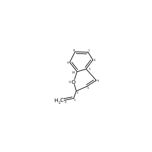 C=CC1C=Cc2ccccc2O1